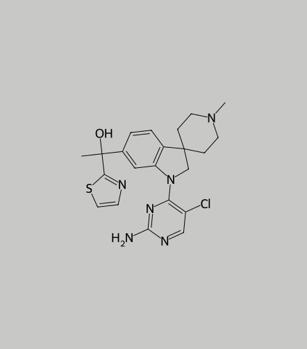 CN1CCC2(CC1)CN(c1nc(N)ncc1Cl)c1cc(C(C)(O)c3nccs3)ccc12